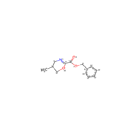 CC1CN=C(C(=O)OCc2ccccc2)OC1